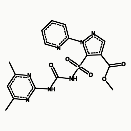 COC(=O)c1cnn(-c2ccccn2)c1S(=O)(=O)NC(=O)Nc1nc(C)cc(C)n1